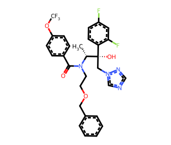 C[C@@H](N(CCOCc1ccccc1)C(=O)c1ccc(OC(F)(F)F)cc1)[C@](O)(Cn1cncn1)c1ccc(F)cc1F